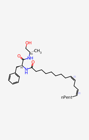 CCCCC/C=C\C/C=C\CCCCCCCC(=O)N[C@@H](Cc1ccccc1)C(=O)N[C@@H](C)CO